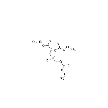 CCC(COC(=O)OOC(C)(C)C)(COC(=O)OOC(C)(C)C)COC(=O)OOC(C)(C)C